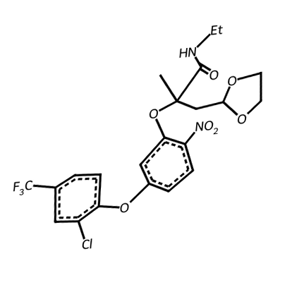 CCNC(=O)C(C)(CC1OCCO1)Oc1cc(Oc2ccc(C(F)(F)F)cc2Cl)ccc1[N+](=O)[O-]